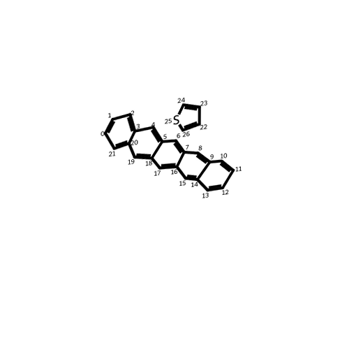 c1ccc2cc3cc4cc5ccccc5cc4cc3cc2c1.c1ccsc1